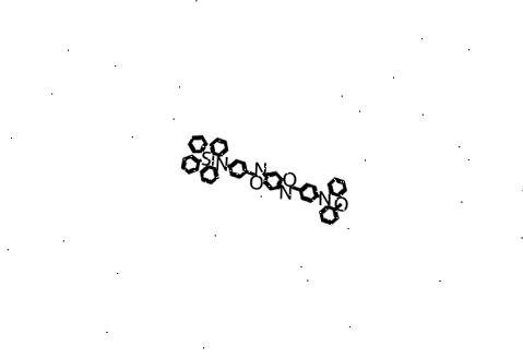 c1ccc([Si]2(c3ccccc3)c3ccccc3N(c3ccc(-c4nc5cc6oc(-c7ccc(N8c9ccccc9Oc9ccccc98)cc7)nc6cc5o4)cc3)c3ccccc32)cc1